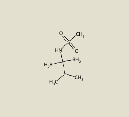 BC(B)(NS(C)(=O)=O)C(C)C